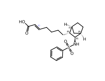 O=C(O)/C=C/CCCC[C@@H]1[C@H]2CC[C@H](C2)[C@H]1NS(=O)(=O)c1ccccc1